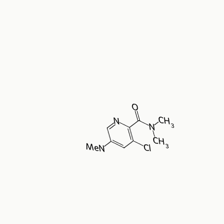 CNc1cnc(C(=O)N(C)C)c(Cl)c1